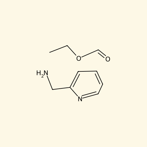 CCOC=O.NCc1ccccn1